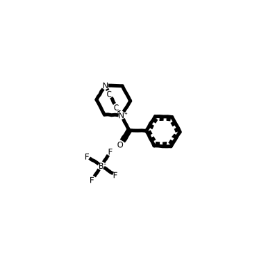 F[B-](F)(F)F.O=C(c1ccccc1)[N+]12CCN(CC1)CC2